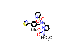 CC(C)(C)OC(=O)N(CC(=O)O)c1cccc(CN(Cc2ccc(-c3cscn3)cc2)S(=O)(=O)c2ccccn2)n1